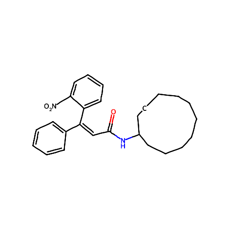 O=C(C=C(c1ccccc1)c1ccccc1[N+](=O)[O-])NC1CCCCCCCCCC1